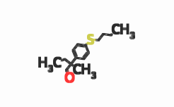 CCCCSc1ccc(C(C)(C=O)CC)cc1